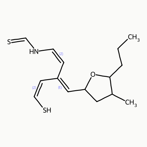 CCCC1OC(/C=C(/C=C\S)\C=C/NC=S)CC1C